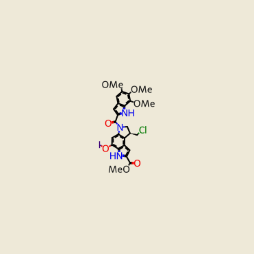 COC(=O)c1cc2c3c(cc(OI)c2[nH]1)N(C(=O)c1cc2cc(OC)c(OC)c(OC)c2[nH]1)C[C@H]3CCl